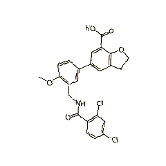 COc1ccc(-c2cc3c(c(C(=O)O)c2)OCC3)cc1CNC(=O)c1ccc(Cl)cc1Cl